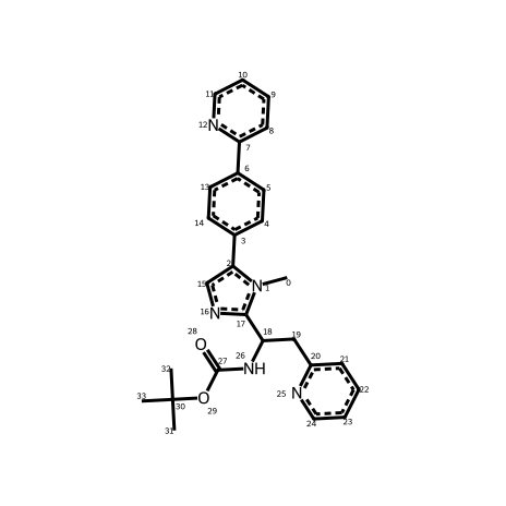 Cn1c(-c2ccc(-c3ccccn3)cc2)cnc1C(Cc1ccccn1)NC(=O)OC(C)(C)C